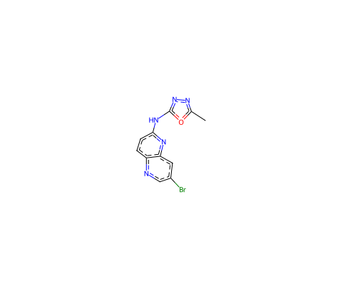 Cc1nnc(Nc2ccc3ncc(Br)cc3n2)o1